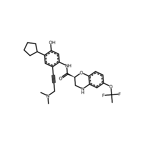 CN(C)CC#Cc1cc(C2CCCC2)c(O)cc1NC(=O)[C@@H]1CNc2cc(OC(C)(F)F)ccc2O1